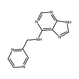 c1cnc(CNc2ncnc3[nH]cnc23)cn1